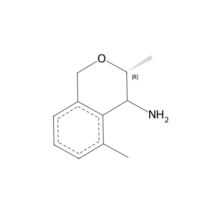 Cc1cccc2c1C(N)[C@@H](C)OC2